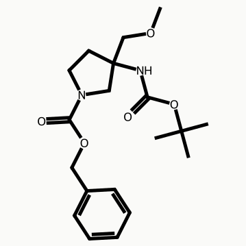 COCC1(NC(=O)OC(C)(C)C)CCN(C(=O)OCc2ccccc2)C1